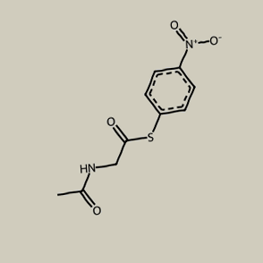 CC(=O)NCC(=O)Sc1ccc([N+](=O)[O-])cc1